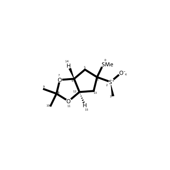 CSC1([S@+](C)[O-])C[C@H]2OC(C)(C)O[C@@H]2C1